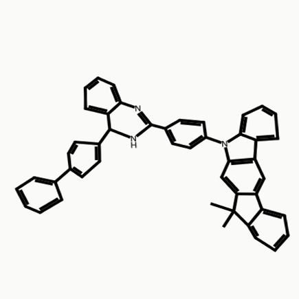 CC1(C)c2ccccc2-c2cc3c4ccccc4n(-c4ccc(C5=Nc6ccccc6C(c6ccc(-c7ccccc7)cc6)N5)cc4)c3cc21